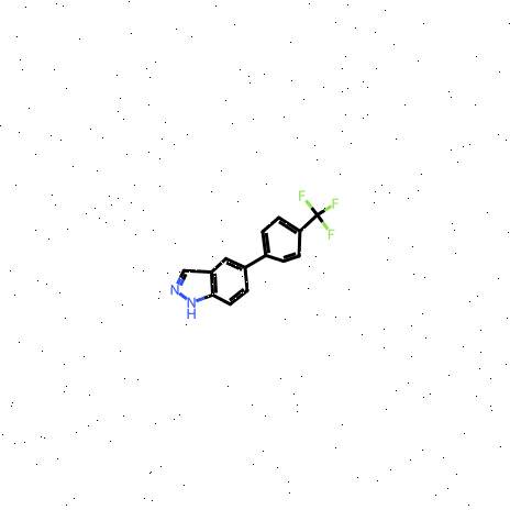 FC(F)(F)c1ccc(-c2ccc3[nH]ncc3c2)cc1